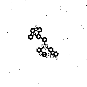 CC1(C)c2ccccc2-c2ccc(-c3nc(-c4cccc(-c5ccc6c(c5)c5cccc7sc8ccc9c%10ccccc%10n6c9c8c75)c4)nc(-c4cccc5sc6ccccc6c45)n3)cc21